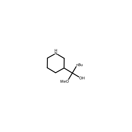 CCCCC(O)(OC)C1CCCNC1